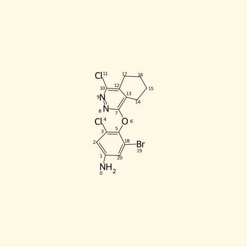 Nc1cc(Cl)c(Oc2nnc(Cl)c3c2CCCC3)c(Br)c1